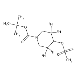 [2H]C1([2H])CN(C(=O)OC(C)(C)C)CC([2H])([2H])C1OS(C)(=O)=O